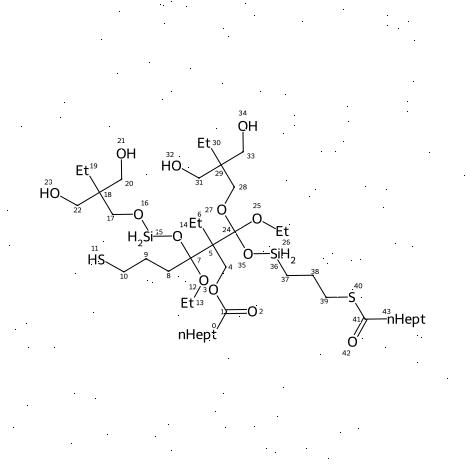 CCCCCCCC(=O)OCC(CC)(C(CCCS)(OCC)O[SiH2]OCC(CC)(CO)CO)C(OCC)(OCC(CC)(CO)CO)O[SiH2]CCCSC(=O)CCCCCCC